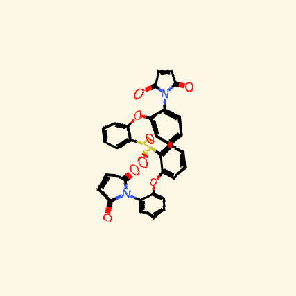 O=C1C=CC(=O)N1c1ccccc1Oc1ccccc1S(=O)(=O)c1ccccc1Oc1ccccc1N1C(=O)C=CC1=O